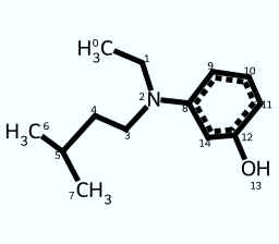 CCN(CCC(C)C)c1cccc(O)c1